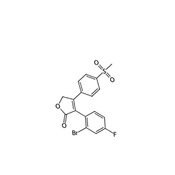 CS(=O)(=O)c1ccc(C2=C(c3ccc(F)cc3Br)C(=O)OC2)cc1